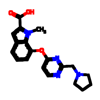 Cn1c(C(=O)O)cc2cccc(Oc3ccnc(CN4CCCC4)n3)c21